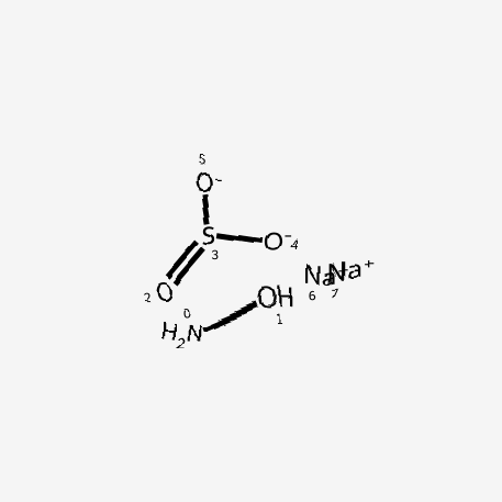 NO.O=S([O-])[O-].[Na+].[Na+]